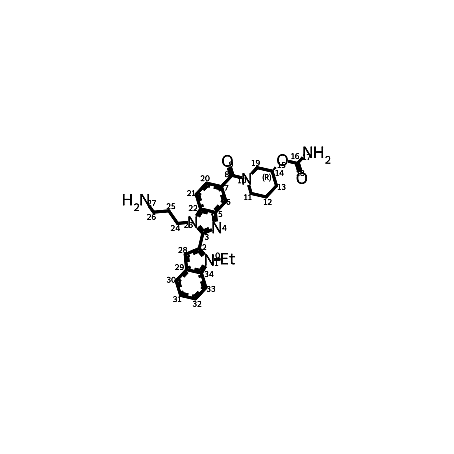 CCn1c(-c2nc3cc(C(=O)N4CCC[C@@H](OC(N)=O)C4)ccc3n2CCCN)cc2ccccc21